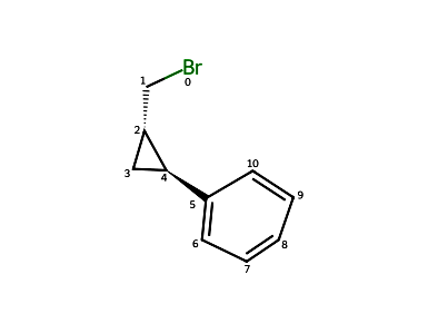 BrC[C@H]1C[C@@H]1c1ccccc1